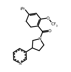 CC(C)C1=CC(OC(F)(F)F)=C(C(=O)N2CCC(c3cccnc3)C2)C[CH]1